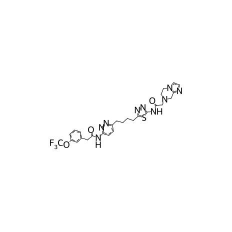 O=C(Cc1cccc(OC(F)(F)F)c1)Nc1ccc(CCCCc2nnc(NC(=O)CN3CCn4ccnc4C3)s2)nn1